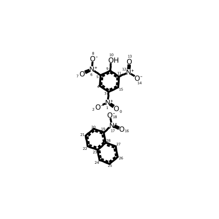 O=[N+]([O-])c1cc([N+](=O)[O-])c(O)c([N+](=O)[O-])c1.O=[N+]([O-])c1cccc2ccccc12